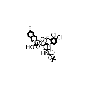 CC(C)(C)OC(=O)NCC[C@H](NC(=O)[C@@H]1Cc2cc(F)ccc2CN1C(=O)O)C(=O)Nc1ccc(Cl)c(Cl)c1F